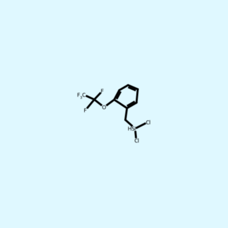 FC(F)(F)C(F)(F)Oc1ccccc1C[SiH](Cl)Cl